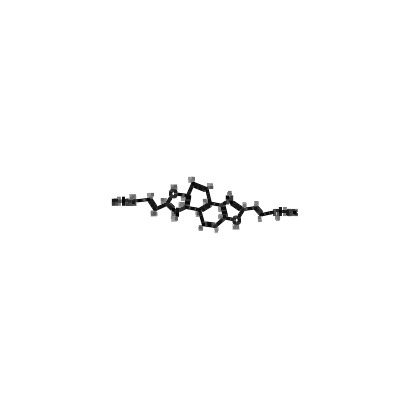 CCCCCC/C=C/c1nc2c(ccc3c2ccc2oc(/C=C/CCCCCC)nc23)o1